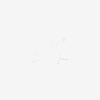 C[Si](C)(C)Br.C[Si](C)(C)OS(=O)(=O)C(F)(F)F